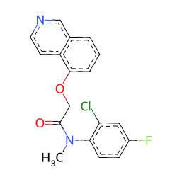 CN(C(=O)COc1cccc2cnccc12)c1ccc(F)cc1Cl